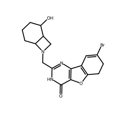 O=c1[nH]c(CN2CC3C(O)CCCC32)nc2c3c(oc12)CCC(Br)=C3